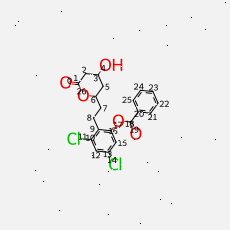 O=C1CC(O)CC(CCc2c(Cl)cc(Cl)cc2OC(=O)c2ccccc2)O1